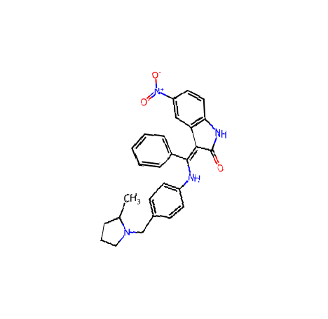 CC1CCCN1Cc1ccc(N/C(=C2\C(=O)Nc3ccc([N+](=O)[O-])cc32)c2ccccc2)cc1